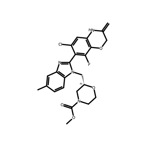 C=C1COc2c(cc(Cl)c(-c3nc4cc(C)ccc4n3C[C@H]3CN(C(=O)OC)CCO3)c2F)N1